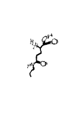 CCCNC(=O)CCC(N)C(=O)O